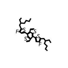 CCCCC(CC)Cc1sc(-c2c3ccsc3c(-c3cc(F)c(CC(CC)CCCC)s3)c3ccsc23)cc1F